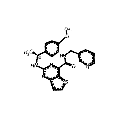 COc1ccc([C@H](C)Nc2nc(C(=O)NCc3cccnc3)c3sccc3n2)cc1